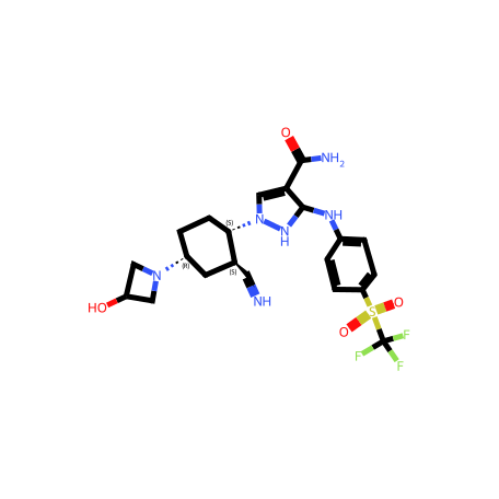 N=C[C@H]1C[C@H](N2CC(O)C2)CC[C@@H]1N1C=C(C(N)=O)C(Nc2ccc(S(=O)(=O)C(F)(F)F)cc2)N1